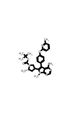 Cc1cccc(Oc2ccc(-c3c(C4C[C@H](C)N(C(=O)OC(C)(C)C)C4)n(C)c4ncnc(N)c34)cc2)n1